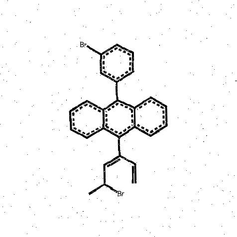 C=C/C(=C\C(C)Br)c1c2ccccc2c(-c2cccc(Br)c2)c2ccccc12